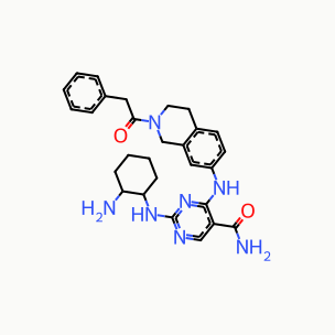 NC(=O)c1cnc(NC2CCCCC2N)nc1Nc1ccc2c(c1)CN(C(=O)Cc1ccccc1)CC2